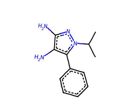 CC(C)n1nc(N)c(N)c1-c1ccccc1